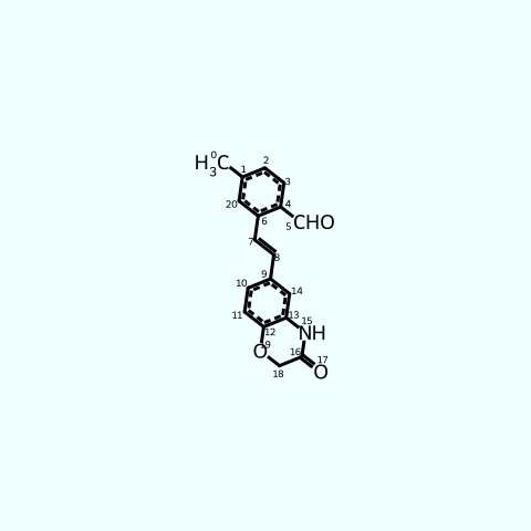 Cc1ccc(C=O)c(/C=C/c2ccc3c(c2)NC(=O)CO3)c1